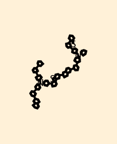 c1ccc(-c2cccc(-c3ccc(N(c4ccc(-c5cccc(-c6ccc7ccccc7c6)c5)cc4)c4ccc(-c5cccc6c5sc5ccc(-c7ccc8cc(-c9cccc(-c%10ccc(N(c%11ccccc%11)c%11ccc(-c%12cccc%13c%12sc%12ccccc%12%13)cc%11)cc%10)c9)ccc8c7)cc56)cc4)cc3)c2)cc1